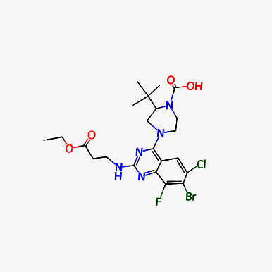 CCOC(=O)CCNc1nc(N2CCN(C(=O)O)C(C(C)(C)C)C2)c2cc(Cl)c(Br)c(F)c2n1